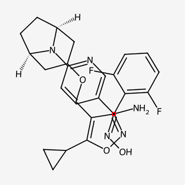 NC(=NO)c1ccc(N2[C@@H]3CC[C@H]2CC(OCc2c(-c4c(F)cccc4F)noc2C2CC2)C3)nc1